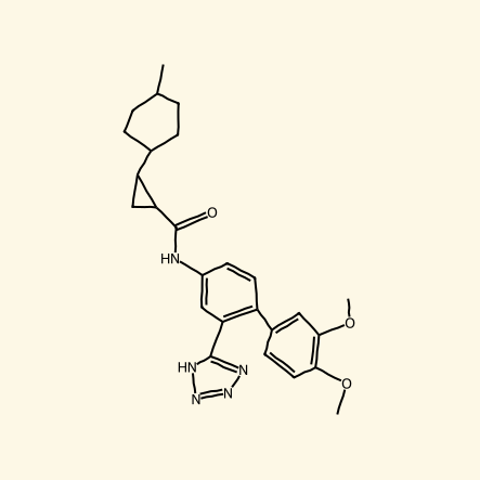 COc1ccc(-c2ccc(NC(=O)C3CC3C3CCC(C)CC3)cc2-c2nnn[nH]2)cc1OC